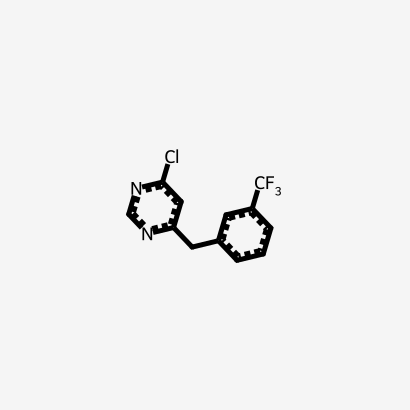 FC(F)(F)c1cccc(Cc2cc(Cl)ncn2)c1